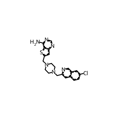 Nc1ncnc2cc(CN3CCN(Cc4cc5ccc(Cl)cc5cn4)CC3)sc12